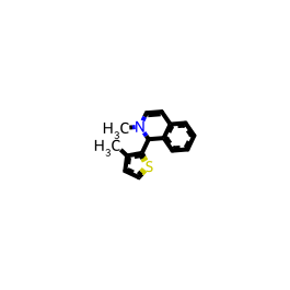 Cc1ccsc1C1c2ccccc2C=CN1C